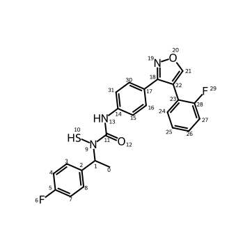 CC(c1ccc(F)cc1)N(S)C(=O)Nc1ccc(-c2nocc2-c2ccccc2F)cc1